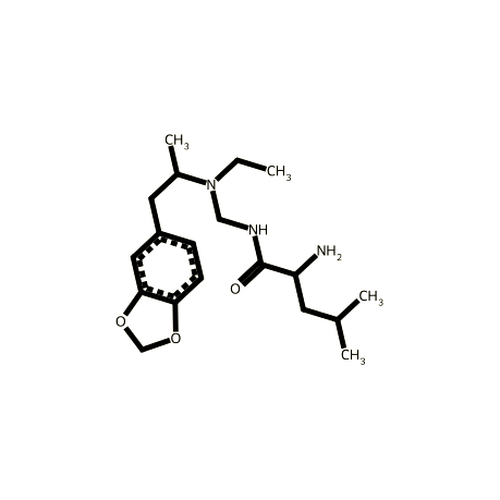 CCN(CNC(=O)C(N)CC(C)C)C(C)Cc1ccc2c(c1)OCO2